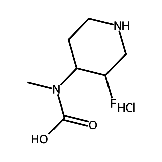 CN(C(=O)O)C1CCNCC1F.Cl